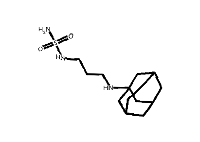 NS(=O)(=O)NCCCNC12CC3CC(CC(C3)C1)C2